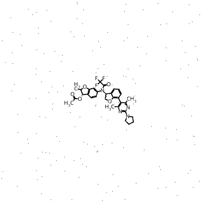 CC(=O)O[C@H]1c2ccc(N(C(=O)C(F)(F)F)[C@@H]3COc4c(-c5c(C)nc(N6CCCC6)nc5C)cccc43)cc2OC1C